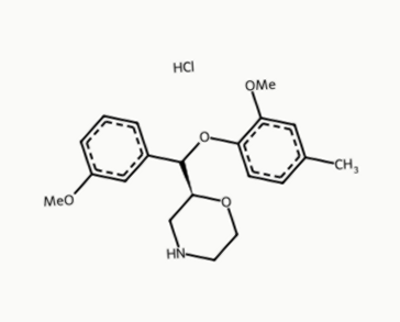 COc1cccc(C(Oc2ccc(C)cc2OC)[C@@H]2CNCCO2)c1.Cl